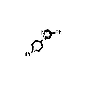 CCc1cnn(C2CCN(C(C)C)CC2)c1